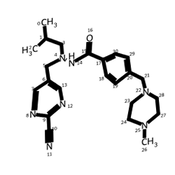 CC(C)CN(Cc1cnc(C#N)nc1)NC(=O)c1ccc(CN2CCN(C)CC2)cc1